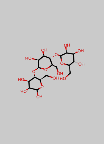 OC[C@H]1O[C@@H](O[C@H]2[C@H](O)[C@H](O)[C@H](O[C@H]3[C@H](O)[C@H](O)C(O)O[C@@H]3CO)O[C@@H]2CO)[C@@H](O)[C@@H](O)[C@@H]1O